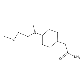 COCCN(C)C1CCC(CC(N)=O)CC1